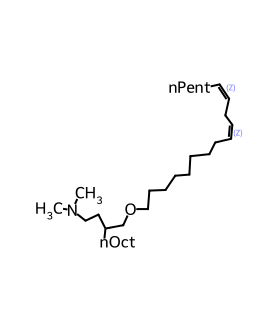 CCCCC/C=C\C/C=C\CCCCCCCCOCC(CCCCCCCC)CCN(C)C